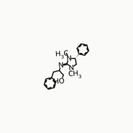 CN1C[C@@H](c2ccccc2)N(C)/C1=N/C(CO)Cc1ccccc1